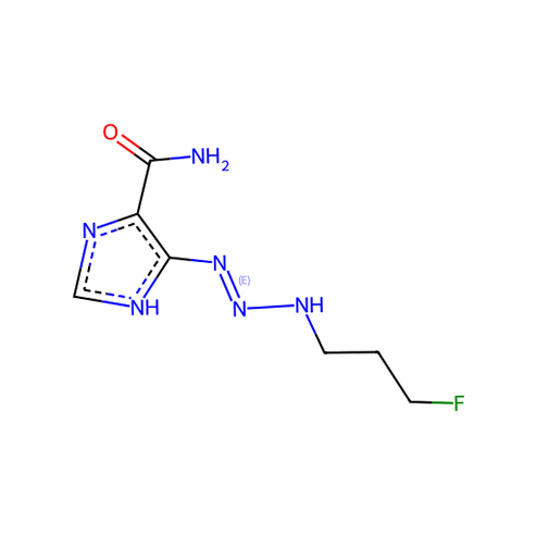 NC(=O)c1nc[nH]c1/N=N/NCCCF